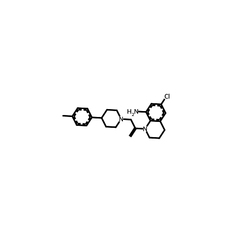 C=C(CN1CCC(c2ccc(C)cc2)CC1)N1CCCc2cc(Cl)cc(N)c21